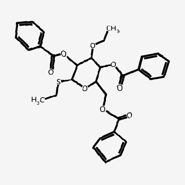 CCOC1C(OC(=O)c2ccccc2)C(COC(=O)c2ccccc2)O[C@@H](SCC)C1OC(=O)c1ccccc1